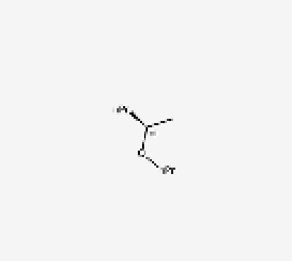 CCCO[C@H](C)CCC